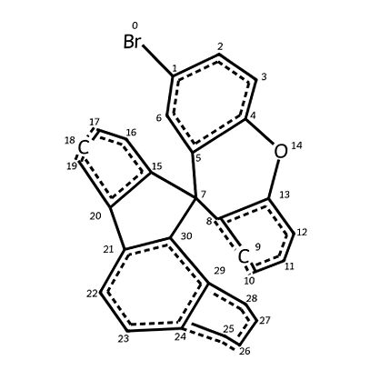 Brc1ccc2c(c1)C1(c3ccccc3O2)c2ccccc2-c2ccc3ccccc3c21